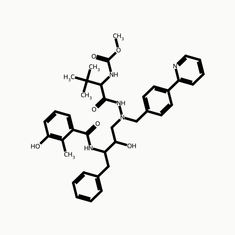 COC(=O)NC(C(=O)NN(Cc1ccc(-c2ccccn2)cc1)CC(O)C(Cc1ccccc1)NC(=O)c1cccc(O)c1C)C(C)(C)C